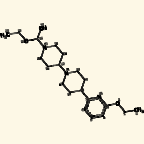 CCOc1cccc(C2CCN(C3CCN(C(O)OCC)CC3)CC2)n1